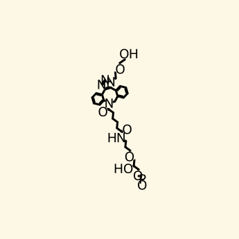 O=POCC(O)COCCCNC(=O)CCCCC(=O)N1Cc2ccccc2-c2c(nnn2CCOCCO)-c2ccccc21